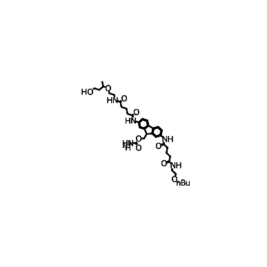 [2H]NC(=O)OCC1c2cc(NC(=O)CCCC(=O)NCCOCCCC)ccc2-c2ccc(NC(=O)CCCC(=O)NCCOC(C)CCO)cc21